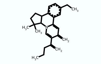 C=C1C=C2c3cc(CC)ccc3C3CCC(C)(C)C3N2C=C1C(=C)CCC